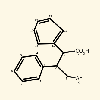 CC(=O)CC(c1ccccc1)C(C(=O)O)c1ccccc1